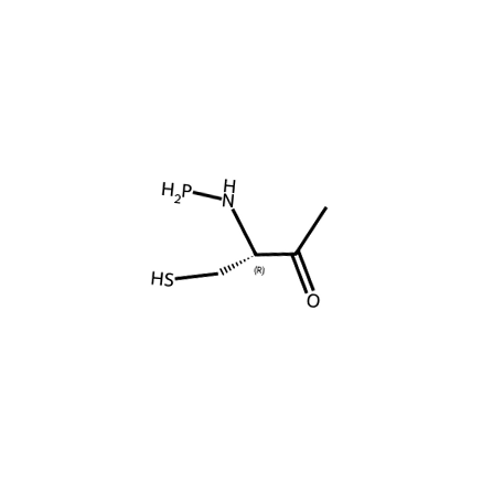 CC(=O)[C@H](CS)NP